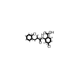 CC(Cc1ccccc1Cl)C(=O)Nc1cc(Cl)ccc1C(=O)O